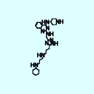 c1ccc2c(NC3CCNCC3)nc(NCc3n[nH]c(CCCNCCCNC4CCCCC4)n3)nc2c1